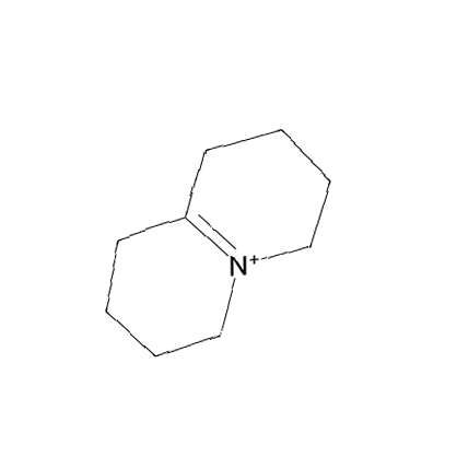 C1CC[N+]2=C(C1)CCCC2